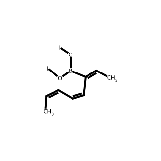 C\C=C/C=C\C(=C/C)B(OI)OI